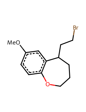 COc1ccc2c(c1)C(CCBr)CCCO2